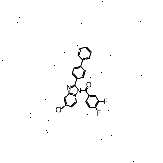 O=C(c1ccc(F)c(F)c1)n1c(-c2ccc(-c3ccccc3)cc2)nc2cc(Cl)ccc21